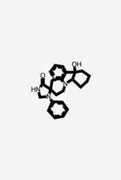 O=C1NCN(c2ccccc2)C12CCN(C1CCCCC1(O)c1cccnc1)CC2